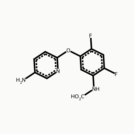 Nc1ccc(Oc2cc(NC(=O)O)c(F)cc2F)nc1